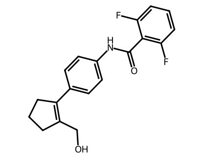 O=C(Nc1ccc(C2=C(CO)CCC2)cc1)c1c(F)cccc1F